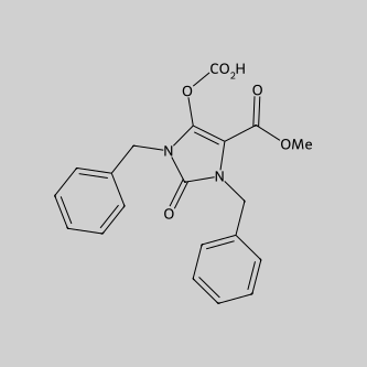 COC(=O)c1c(OC(=O)O)n(Cc2ccccc2)c(=O)n1Cc1ccccc1